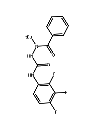 CC(C)(C)N(NC(=O)Nc1ccc(F)c(F)c1F)C(=O)c1ccccc1